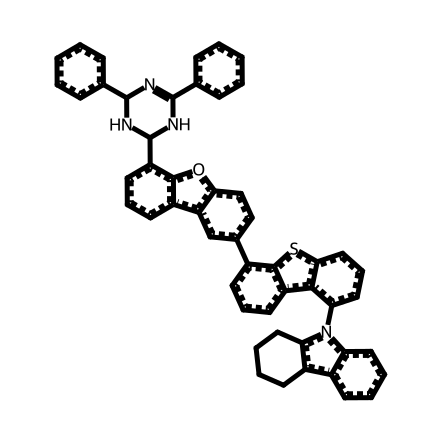 c1ccc(C2=NC(c3ccccc3)NC(c3cccc4c3oc3ccc(-c5cccc6c5sc5cccc(-n7c8c(c9ccccc97)CCCC8)c56)cc34)N2)cc1